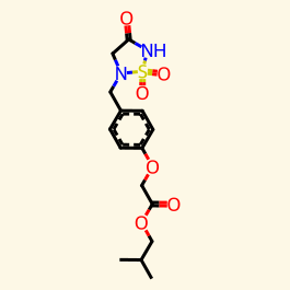 CC(C)COC(=O)COc1ccc(CN2CC(=O)NS2(=O)=O)cc1